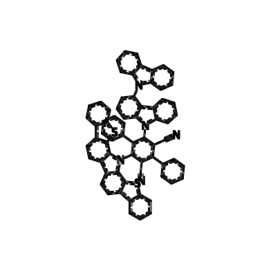 N#Cc1c(-c2ccccc2)c(C#N)c(-n2c3c(ccc4c5ccccc5sc43)c3ccc4c5ccccc5sc4c32)c(-c2ccccc2)c1-n1c2ccccc2c2c(-n3c4ccccc4c4ccccc43)cccc21